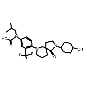 CC(C)CN(C(=O)O)c1ccc(N2CCCC3(CCN(C4CCC(O)CC4)C3=O)C2)c(C(F)(F)F)c1